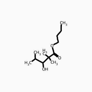 CCCCOC(=O)C(C)(C)C(O)C(C)C